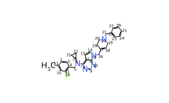 Cc1ccc(CN(c2ncnc3c2ccn3CC2=CCN(Cc3ccccc3)CC2)C2CC2)c(F)c1